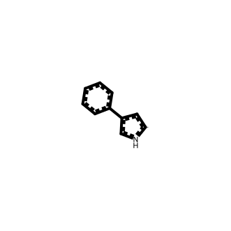 [c]1cc(-c2ccccc2)c[nH]1